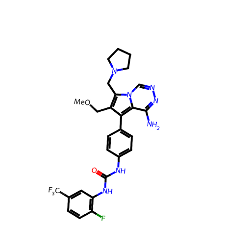 COCc1c(-c2ccc(NC(=O)Nc3cc(C(F)(F)F)ccc3F)cc2)c2c(N)nncn2c1CN1CCCC1